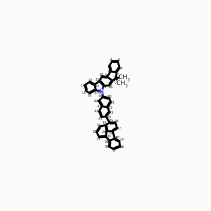 CC1(C)c2ccccc2-c2cc3c4ccccc4n(-c4ccc5cc(-c6ccc7c8c(cccc68)-c6ccccc6-7)ccc5c4)c3cc21